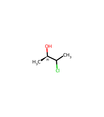 CC(Cl)[C@@H](C)O